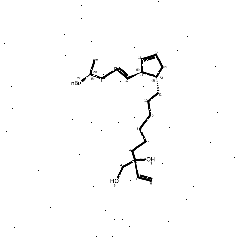 C=CC(O)(CO)CCCCCC[C@H]1CC=C[C@@H]1C=CC[C@H](C)CCCC